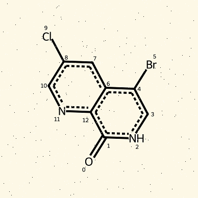 O=c1[nH]cc(Br)c2cc(Cl)cnc12